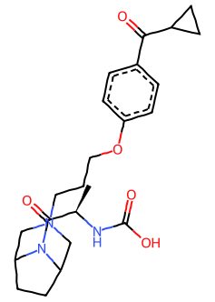 C[C@@H](NC(=O)O)C(=O)N1C2CCC1CN(CCCOc1ccc(C(=O)C3CC3)cc1)C2